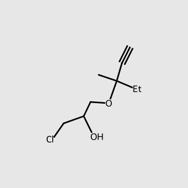 C#CC(C)(CC)OCC(O)CCl